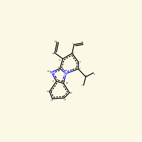 C=Cc1cc(C(C)C)n2c(nc3ccccc32)c1C=C